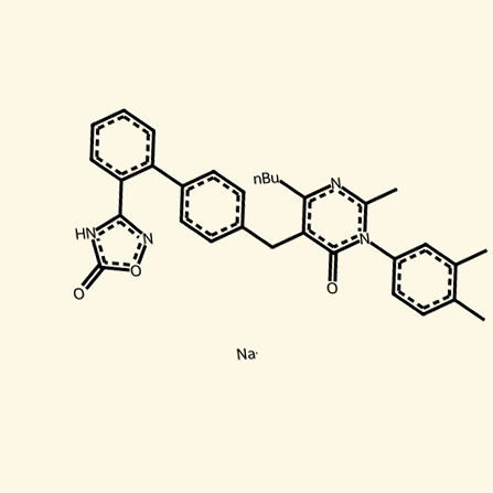 CCCCc1nc(C)n(-c2ccc(C)c(C)c2)c(=O)c1Cc1ccc(-c2ccccc2-c2noc(=O)[nH]2)cc1.[Na]